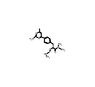 Cc1cc(-c2ccc(C[C@H](/N=P/PP)C(=O)P(P)P)cc2)nc(N)n1